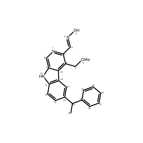 COCc1c(/C=N/O)ncc2[nH]c3ccc(C(C)c4ccccc4)cc3c12